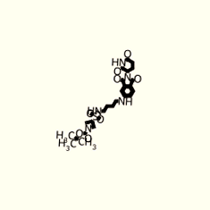 CC(C)(C)OC(=O)N1CC(S(=O)(=O)NCCCCNc2ccc3c(c2)C(=O)N(C2CCC(=O)NC2=O)C3=O)C1